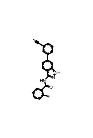 N#Cc1cccc(-c2ccc3c(NC(=O)c4ccccc4F)n[nH]c3c2)c1